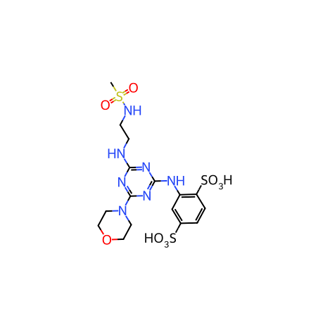 CS(=O)(=O)NCCNc1nc(Nc2cc(S(=O)(=O)O)ccc2S(=O)(=O)O)nc(N2CCOCC2)n1